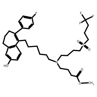 COC(=O)CCCN(CCCCCCC1=C(c2ccc(F)cc2)CCCc2cc(O)ccc21)CCCCS(=O)(=O)CCCC(F)(F)F